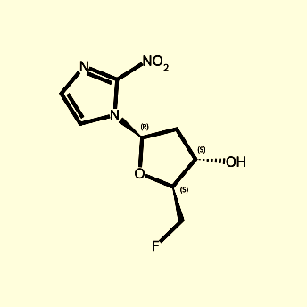 O=[N+]([O-])c1nccn1[C@H]1C[C@H](O)[C@@H](CF)O1